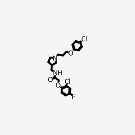 O=C(COc1ccc(F)cc1Cl)NCC1CCN(CCCOc2ccc(Cl)cc2)C1